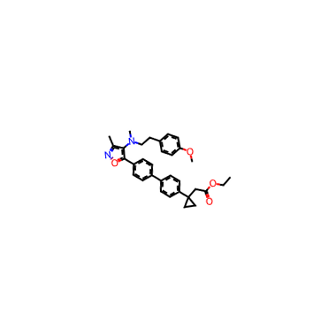 CCOC(=O)CC1(c2ccc(-c3ccc(-c4onc(C)c4N(C)CCc4ccc(OC)cc4)cc3)cc2)CC1